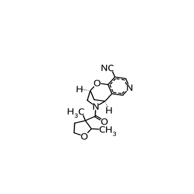 CC1OCCC1(C)C(=O)N1C[C@@H]2C[C@H]1c1cncc(C#N)c1O2